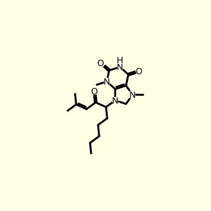 CCCCCC(C(=O)C=C(C)C)N1CN(C)c2c1n(C)c(=O)[nH]c2=O